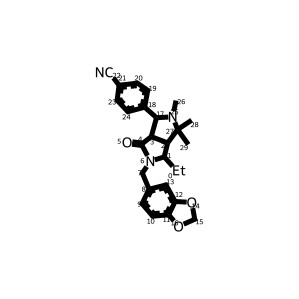 CCC1C2C(C(=O)N1Cc1ccc3c(c1)OCO3)C(c1ccc(C#N)cc1)N(C)C2(C)C